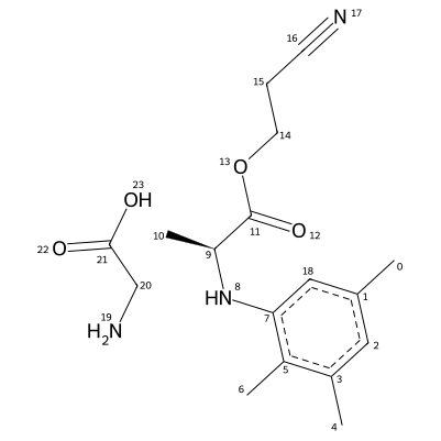 Cc1cc(C)c(C)c(N[C@@H](C)C(=O)OCCC#N)c1.NCC(=O)O